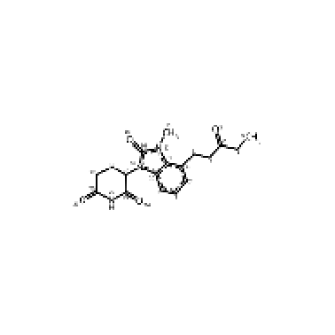 CCC(=O)CCc1cccc2c1n(C)c(=O)n2C1CCC(=O)NC1=O